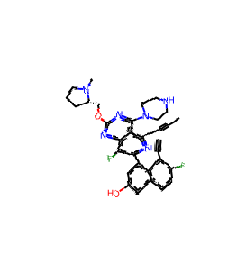 C#Cc1c(F)ccc2cc(O)cc(-c3nc(C#CC)c4c(N5CCNCC5)nc(OC[C@@H]5CCCN5C)nc4c3F)c12